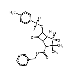 Cc1ccc(S(=O)(=O)O[C@@H]2C(=O)N3[C@@H](C(=O)OCc4ccccc4)C(C)(C)S(=O)(=O)[C@H]23)cc1